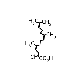 CC(C)=CCCC(C)=CCCC(C)=CCC(Cl)C(=O)O